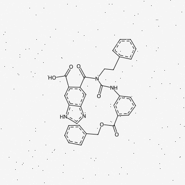 O=C(OCc1ccccc1)c1cccc(NC(=O)N(CCc2ccccc2)C(=O)c2cc3nc[nH]c3cc2C(=O)O)c1